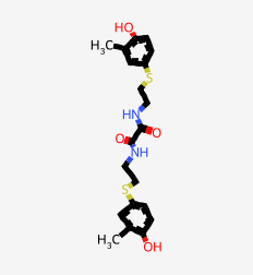 Cc1cc(SCCNC(=O)C(=O)NCCSc2ccc(O)c(C)c2)ccc1O